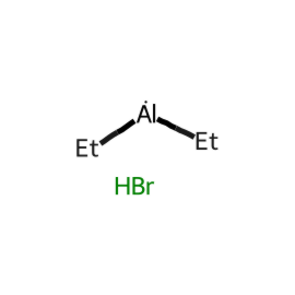 Br.C[CH2][Al][CH2]C